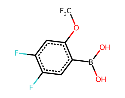 OB(O)c1cc(F)c(F)cc1OC(F)(F)F